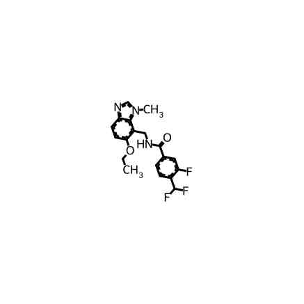 CCOc1ccc2ncn(C)c2c1CNC(=O)c1ccc(C(F)F)c(F)c1